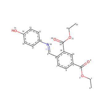 CCOC(=O)c1ccc(/C=N/c2ccc(O)cc2)c(C(=O)OCC)c1